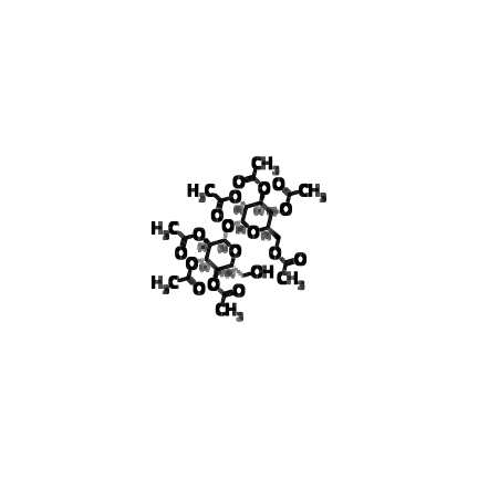 CC(=O)OC[C@H]1O[C@H](O[C@@H]2O[C@H](CO)[C@@H](OC(C)=O)[C@H](OC(C)=O)[C@H]2OC(C)=O)[C@H](OC(C)=O)[C@@H](OC(C)=O)[C@@H]1OC(C)=O